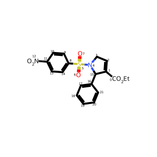 CCOC(=O)C1=CCN(S(=O)(=O)c2ccc([N+](=O)[O-])cc2)C1c1ccccc1